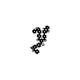 CCc1ccc(-c2ccc(C(=O)c3cc(C(=O)c4ccc(-c5ccc(CC)c(C(=O)c6ccccc6)c5)cc4)cc(C(=O)c4ccc(-c5ccc(CC)c(C(=O)c6ccccc6)c5)cc4)c3)cc2)cc1C(=O)c1ccccc1